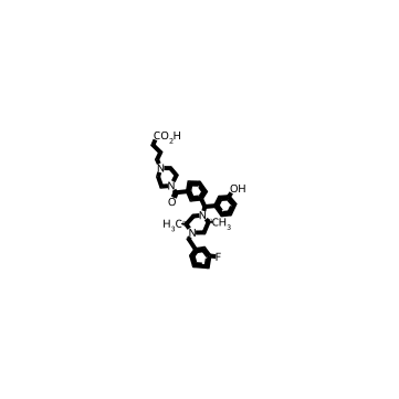 C[C@@H]1CN(C(c2cccc(O)c2)c2cccc(C(=O)N3CCN(CCCC(=O)O)CC3)c2)[C@H](C)CN1Cc1cccc(F)c1